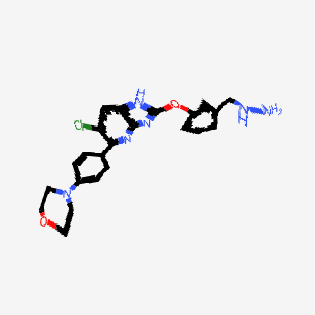 NNCc1cccc(Oc2nc3nc(C4C=CC(N5CCOCC5)=CC4)c(Cl)cc3[nH]2)c1